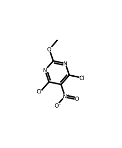 COc1nc(Cl)c([N+](=O)[O-])c(Cl)n1